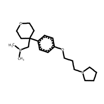 CN(C)CC1(c2ccc(OCCCN3CCCC3)cc2)CCOCC1